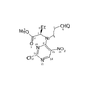 CC[C@H](C(=O)OC)N(CCC=O)c1nc(Cl)ncc1[N+](=O)[O-]